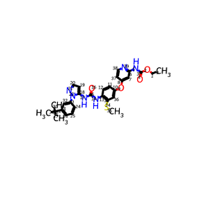 CCOC(=O)Nc1cc(Oc2ccc(NC(=O)Nc3ccnn3-c3cccc(C(C)(C)C)c3)c(SC)c2)ccn1